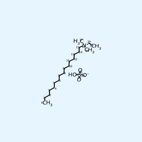 CCCCCCCCCCCCCCCC[N+](C)(C)CC.O=S(=O)([O-])O